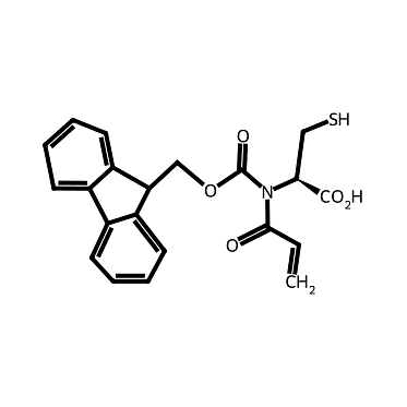 C=CC(=O)N(C(=O)OCC1c2ccccc2-c2ccccc21)[C@@H](CS)C(=O)O